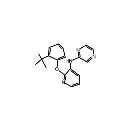 CC(C)(C)c1ccccc1Oc1ncccc1Nc1cnccn1